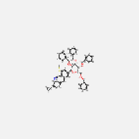 CSc1cc([C@@H]2O[C@H](COCc3ccccc3)[C@@H](OCc3ccccc3)[C@H](OCc3ccccc3)[C@H]2OCc2ccccc2)cc(Cc2ccc(C3CC3)cc2)c1C#N